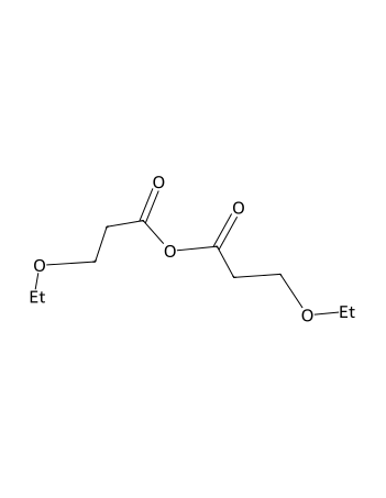 CCOCCC(=O)OC(=O)CCOCC